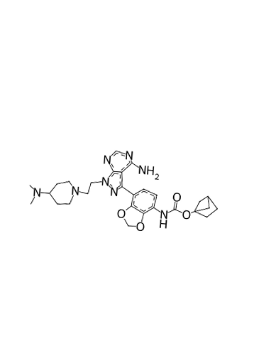 CN(C)C1CCN(CCn2nc(-c3ccc(NC(=O)OC45CCC(C4)C5)c4c3OCO4)c3c(N)ncnc32)CC1